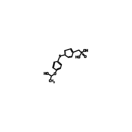 CC(O)Oc1ccc(Sc2ccc(CP(=O)(O)O)cc2)cc1